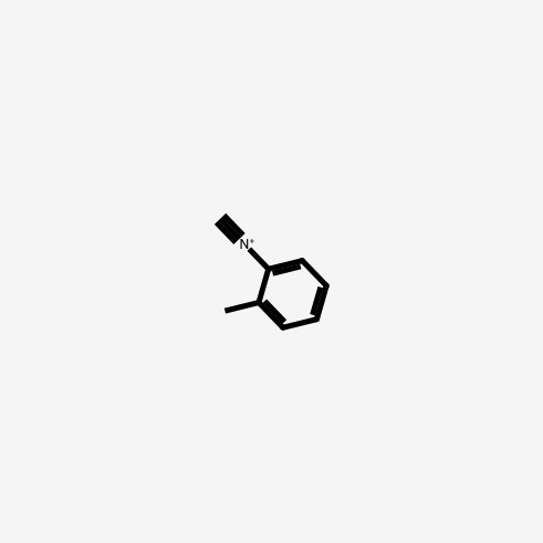 C#[N+]c1ccccc1C